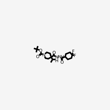 CC(C)C1(C(=O)NNC(=O)C2CCC(F)(F)CC2)CCN(C(=O)OC(C)(C)C)CC1